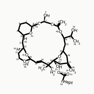 C=C1C[C@H](O)C[C@@H]2CCC[C@H](C[C@@H]3CCO[C@H](/C=C/C(C)(C)[C@]4(O)OC(C/C(=C/C)[C@@H]4OC(=O)CCCCCCC)CC(C(C)O)O1)O3)O2